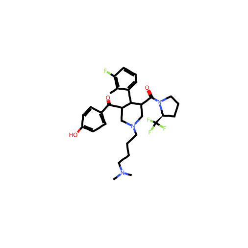 Cc1c(F)cccc1C1C(C(=O)c2ccc(O)cc2)CN(CCCCN(C)C)CC1C(=O)N1CCC[C@H]1C(F)(F)F